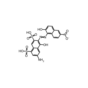 Nc1cc(S(=O)(=O)O)c2cc(S(=O)(=O)O)c(N=Nc3c(O)ccc4cc([N+](=O)[O-])ccc34)c(O)c2c1